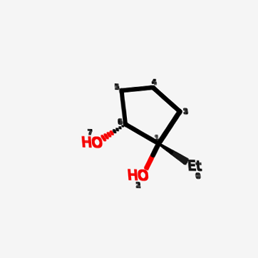 CC[C@]1(O)CCC[C@H]1O